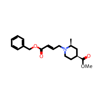 COC(=O)[C@H]1CCN(C/C=C/C(=O)OCc2ccccc2)[C@@H](C)C1